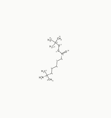 CC(C)(N)CCCCCC(=O)OOC(C)(C)C